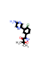 CC1(C)ON=C(c2ccc(Cl)c(-c3cnc(N)cn3)c2)C1=O